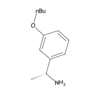 CCCCOc1cccc([C@@H](C)N)c1